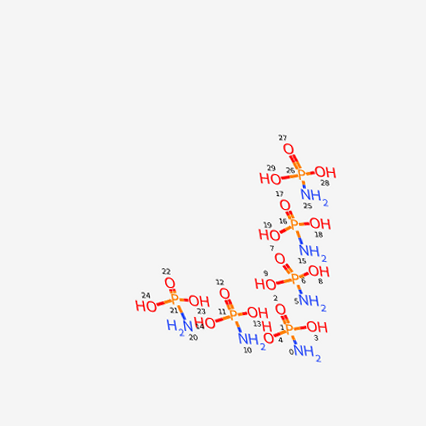 NP(=O)(O)O.NP(=O)(O)O.NP(=O)(O)O.NP(=O)(O)O.NP(=O)(O)O.NP(=O)(O)O